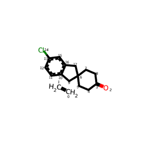 C=C.O=C1CCC2(CC1)Cc1ccc(Cl)cc1C2